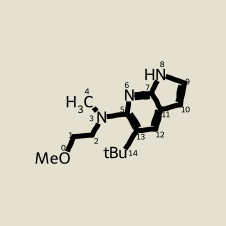 COCCN(C)c1nc2[nH]ccc2cc1C(C)(C)C